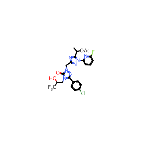 CC(=O)OC(C)c1nc(Cn2nc(-c3ccc(Cl)cc3)n(C[C@H](O)C(F)(F)F)c2=O)nn1-c1cccc(F)n1